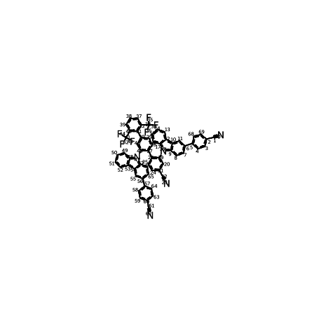 N#Cc1ccc(-c2ccc3c(c2)c2ccccc2n3-c2cc(C#N)ccc2-c2ccc(-c3c(C(F)(F)F)cccc3C(F)(F)F)cc2-n2c3ccccc3c3cc(-c4ccc(C#N)cc4)ccc32)cc1